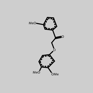 COc1cccc(C(=O)COc2ccc(OC)c(OC)c2)c1